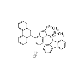 CCCC1=Cc2c(-c3cc4ccccc4c4ccccc34)cccc2[CH]1[Zr+2]([CH]1c2ccccc2-c2ccccc21)=[Si](C)C.[Cl-].[Cl-]